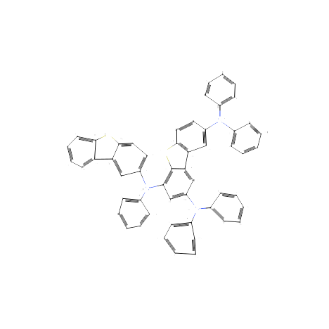 c1ccc(N(c2ccccc2)c2ccc3sc4c(N(c5ccccc5)c5ccc6sc7ccccc7c6c5)cc(N(c5ccccc5)c5ccccc5)cc4c3c2)cc1